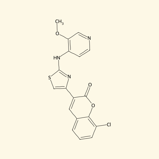 COc1cnccc1Nc1nc(-c2cc3cccc(Cl)c3oc2=O)cs1